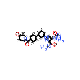 NC(=O)Nc1cn(-c2cccc(-c3ccc(C(=O)N4CCC(=O)CC4)cc3)c2)nc1C(N)=O